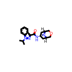 CC(C)n1nc(C(=O)N[C@H]2C[C@H]3COC[C@@H](C2)N3C)c2ccccc21